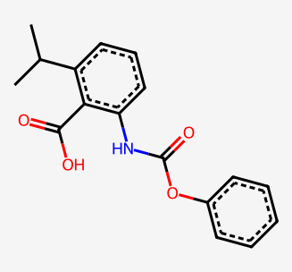 CC(C)c1cccc(NC(=O)Oc2ccccc2)c1C(=O)O